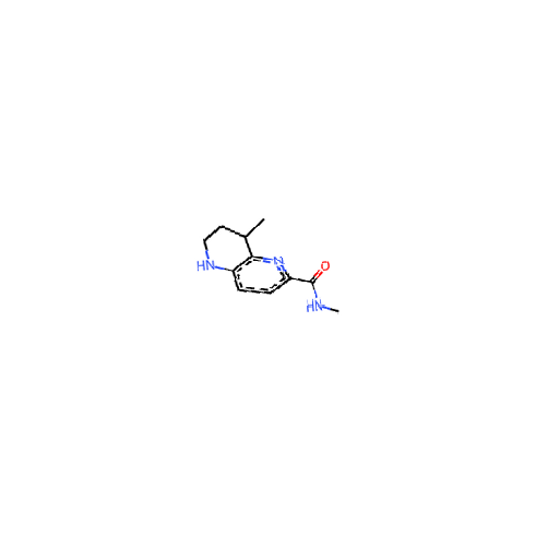 CNC(=O)c1ccc2c(n1)C(C)CCN2